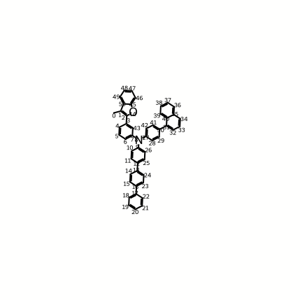 Cc1c(-c2cccc(N(c3ccc(-c4ccc(-c5ccccc5)cc4)cc3)c3ccc(-c4cccc5ccccc45)cc3)c2)oc2ccccc12